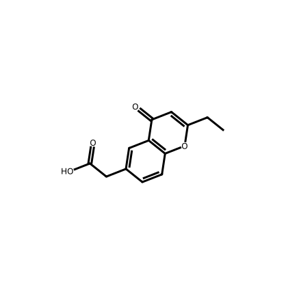 CCc1cc(=O)c2cc(CC(=O)O)ccc2o1